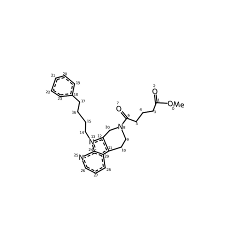 COC(=O)CCCC(=O)N1CCc2c(n(CCCCc3ccccc3)c3ncccc23)C1